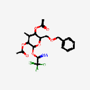 CC(=O)OC1C(COCc2ccccc2)OC(OC(=N)C(Cl)(Cl)Cl)C(OC(C)=O)C1C